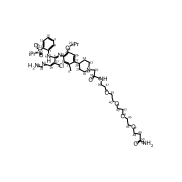 Cc1cc(\N=C(Nc2ccccc2S(=O)(=O)C(C)C)/C(Cl)=C\N=C\N)c(OC(C)C)cc1C1CCN(CC(=O)NCCOCCOCCOCCOCCC(N)=O)CC1